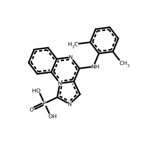 Cc1cccc(C)c1Nc1nc2ccccc2n2c(P(=O)(O)O)n[c]c12